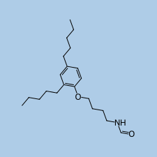 CCCCCc1ccc(OCCCCNC=O)c(CCCCC)c1